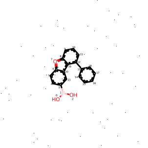 OB(O)c1ccc2oc3cccc(-c4ccccc4)c3c2c1